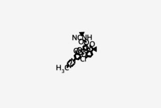 CN1CCN(c2ccc(S(=O)(=O)[C@@H]3C[C@H](OC(=O)NC4(C#N)CC4)N(C(=O)C4(c5ccc(Cl)cc5)CC4)C3)c(Cl)c2)CC1